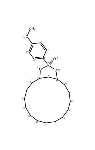 COc1ccc(P2(=O)OC3CCCCCCCCCCCCCC(C3)O2)cc1